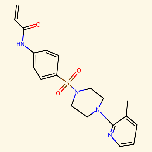 C=CC(=O)Nc1ccc(S(=O)(=O)N2CCN(c3ncccc3C)CC2)cc1